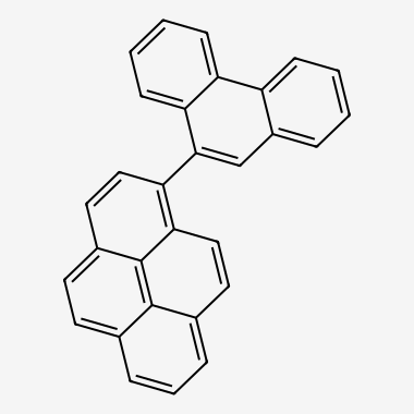 c1ccc2c(c1)cc(-c1ccc3ccc4cccc5ccc1c3c45)c1ccccc12